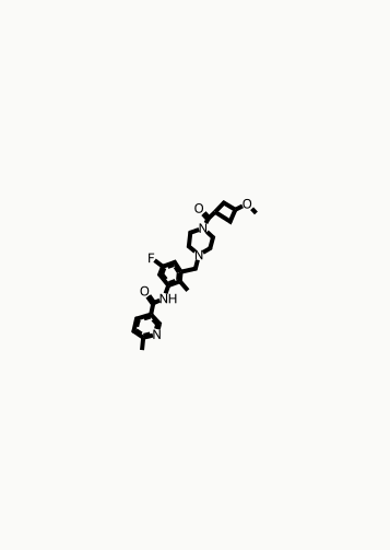 COC1CC(C(=O)N2CCN(Cc3cc(F)cc(NC(=O)c4ccc(C)nc4)c3C)CC2)C1